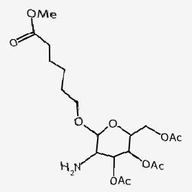 COC(=O)CCCCCOC1OC(COC(C)=O)C(OC(C)=O)C(OC(C)=O)C1N